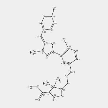 Cn1nc(-c2nc(NCCN3CNC(C(=O)C=O)C3(C)C)ncc2Cl)sc1=Nc1ccc(F)cc1